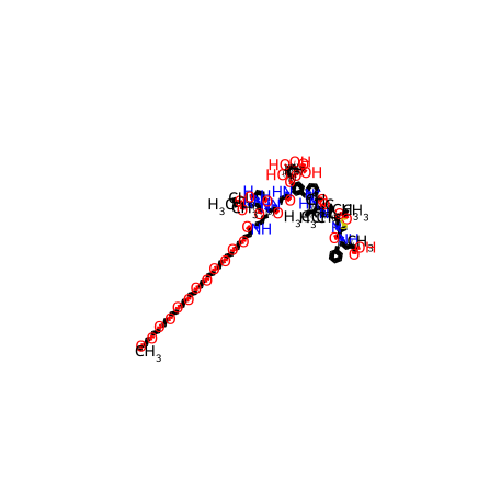 CC[C@H](C)[C@H](NC(=O)[C@H]1CCCC[N+]1(C)Cc1ccc(O[C@@H]2O[C@H](C(=O)O)[C@@H](O)[C@H](O)[C@H]2O)c(NC(=O)CCNC(=O)[C@H](CCCCNC(=O)CCOCCOCCOCCOCCOCCOCCOCCOCCOCCOCCOCCOC)NC(=O)[C@H](CNC(=O)OC(C)(C)C)N2C(=O)C=CC2=O)c1)C(=O)N(C)[C@H](C[C@@H](OC(C)=O)c1nc(C(=O)N[C@@H](Cc2ccccc2)C[C@H](C)C(=O)O)cs1)C(C)C